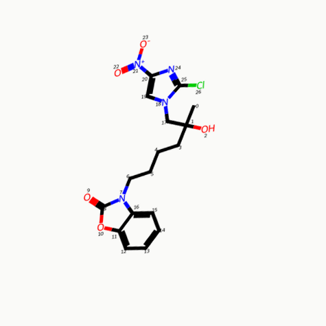 CC(O)(CCCCn1c(=O)oc2ccccc21)Cn1cc([N+](=O)[O-])nc1Cl